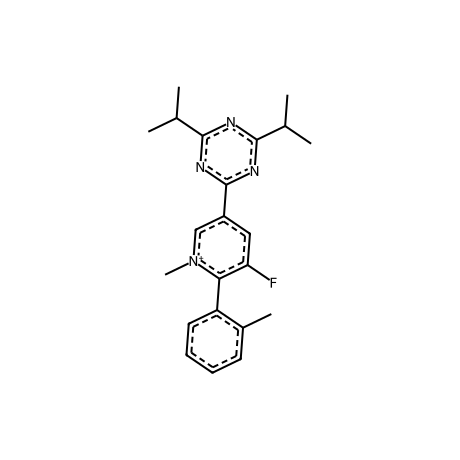 Cc1ccccc1-c1c(F)cc(-c2nc(C(C)C)nc(C(C)C)n2)c[n+]1C